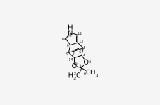 CC1(C)OC2C3C=CC(C4CNC=C34)C2O1